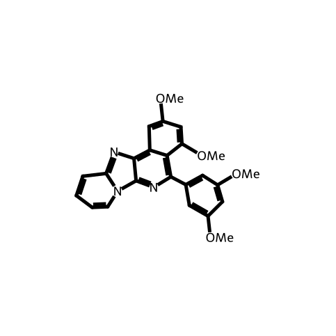 COc1cc(OC)cc(-c2nc3c(nc4ccccn43)c3cc(OC)cc(OC)c23)c1